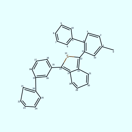 Cc1ccc(-c2ccccc2)c(-c2sc(-c3cccc(-c4ccccc4)c3)c3ccccc23)c1